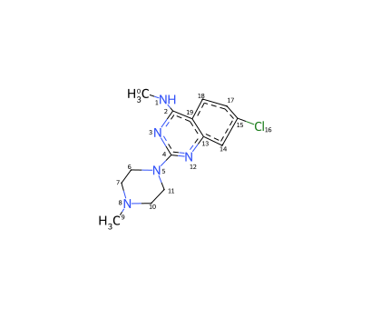 CNc1nc(N2CCN(C)CC2)nc2cc(Cl)ccc12